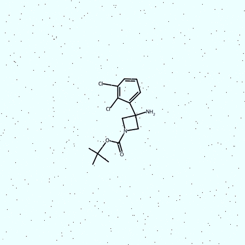 CC(C)(C)OC(=O)N1CC(N)(c2cccc(Cl)c2Cl)C1